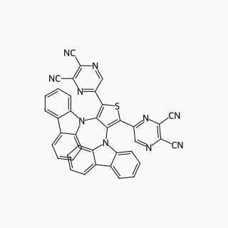 N#Cc1ncc(-c2sc(-c3cnc(C#N)c(C#N)n3)c(-n3c4ccccc4c4ccccc43)c2-n2c3ccccc3c3ccccc32)nc1C#N